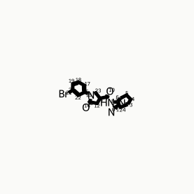 N#CN1C2CCC1C(NC(=O)C1CC(=O)N(c3cccc(Br)c3)C1)C2